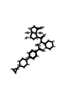 O=C(N[C@H](C(=O)N1C[C@H](F)[C@H]2OCC(=O)[C@H]21)C1CCCCC1)c1ccc(N2CCN(C3CC3)CC2)cc1